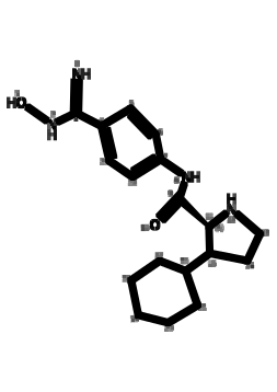 N=C(NO)c1ccc(NC(=O)[C@H]2NCCC2C2CCCCC2)cc1